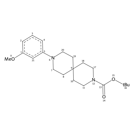 COc1cccc(N2CCC3(CCN(C(=O)OC(C)(C)C)CC3)CC2)c1